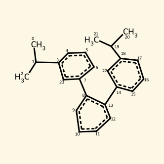 CC(C)c1cccc(-c2ccccc2-c2cccc(C(C)C)c2)c1